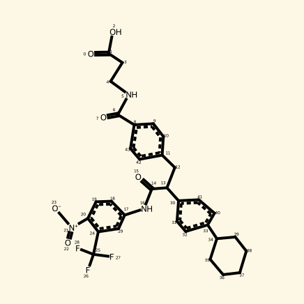 O=C(O)CCNC(=O)c1ccc(CC(C(=O)Nc2ccc([N+](=O)[O-])c(C(F)(F)F)c2)c2ccc(C3CCCCC3)cc2)cc1